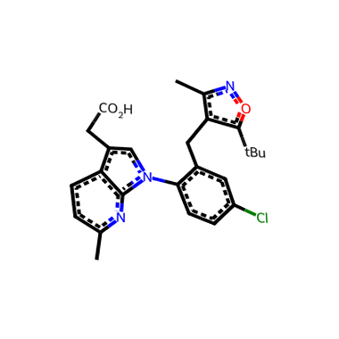 Cc1ccc2c(CC(=O)O)cn(-c3ccc(Cl)cc3Cc3c(C)noc3C(C)(C)C)c2n1